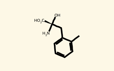 Cc1ccccc1C[C@](N)(O)C(=O)O